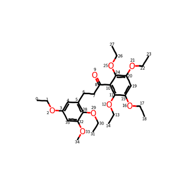 CCOc1cc(CCC(=O)c2c(OCC)c(OCC)cc(OCC)c2OCC)c(OCC)c(OC)c1